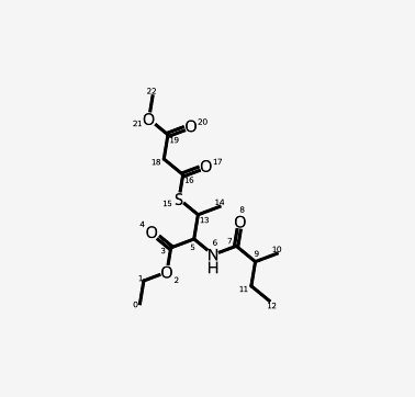 CCOC(=O)C(NC(=O)C(C)CC)C(C)SC(=O)CC(=O)OC